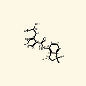 C[C@H]1CC(C)(C)c2cccc(NC(=O)c3c[nH]nc3CC(F)F)c21